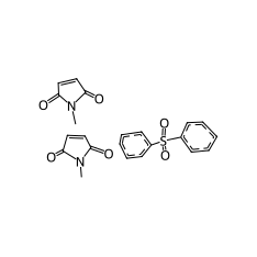 CN1C(=O)C=CC1=O.CN1C(=O)C=CC1=O.O=S(=O)(c1ccccc1)c1ccccc1